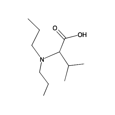 CCCN(CCC)C(C(=O)O)C(C)C